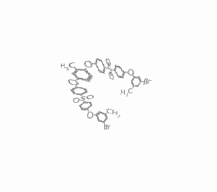 Cc1cc(Br)cc(Oc2ccc(S(=O)(=O)c3ccc(Oc4ccc(Oc5ccc(S(=O)(=O)c6ccc(Oc7cc(C)cc(Br)c7)cc6)cc5)c(C)c4)cc3)cc2)c1